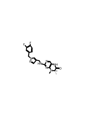 C[C@H]1C(=O)Nc2cnc(NCc3cnn(Cc4ccc(F)c(F)c4)c3)nc2N1C